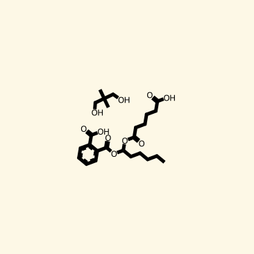 CC(C)(CO)CO.CCCCCC(OC(=O)CCCCC(=O)O)OC(=O)c1ccccc1C(=O)O